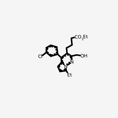 CCOC(=O)CCCc1c(CO)nn2c(CC)ccc2c1-c1cccc(Cl)c1